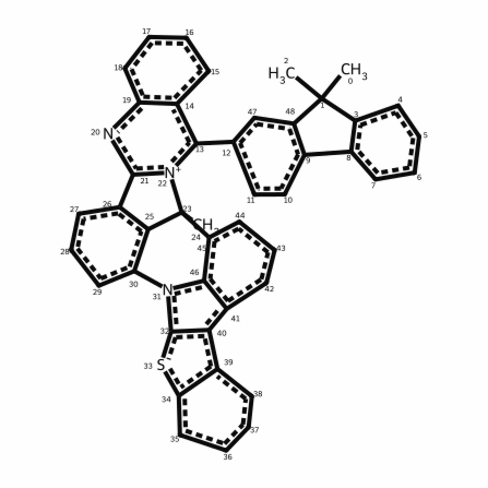 CC1(C)c2ccccc2-c2ccc(-c3c4ccccc4nc4[n+]3C3(C)c5c-4cccc5-n4c5sc6ccccc6c5c5cccc3c54)cc21